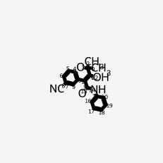 CC1(C)Oc2ccc(C#N)cc2C(C(=O)Nc2ccccc2)=C1O